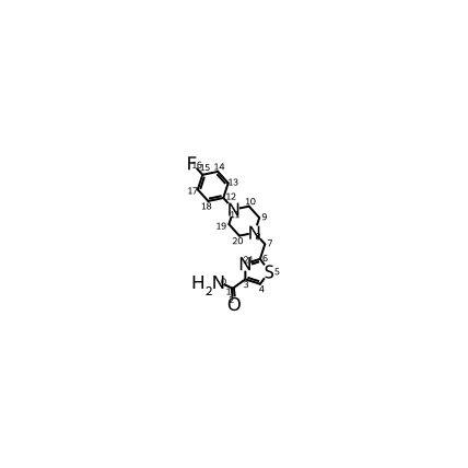 NC(=O)c1csc(CN2CCN(c3ccc(F)cc3)CC2)n1